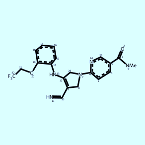 CNC(=O)c1ccc(N2CC(C=N)=C(Nc3ccccc3OCC(F)(F)F)C2)nc1